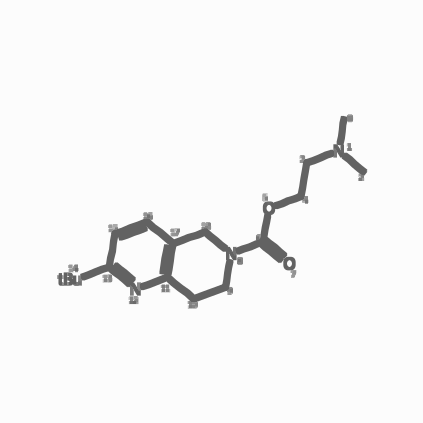 CN(C)CCOC(=O)N1CCc2nc(C(C)(C)C)ccc2C1